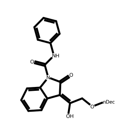 CCCCCCCCCCOCC(O)=C1C(=O)N(C(=O)Nc2ccccc2)c2ccccc21